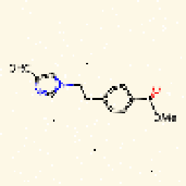 COC(=O)c1ccc(CCn2cnc(C=O)c2)cc1